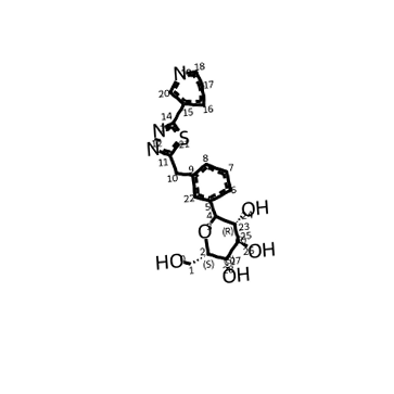 OC[C@@H]1OC(c2cccc(Cc3nnc(-c4cccnc4)s3)c2)[C@H](O)[C@@H](O)[C@@H]1O